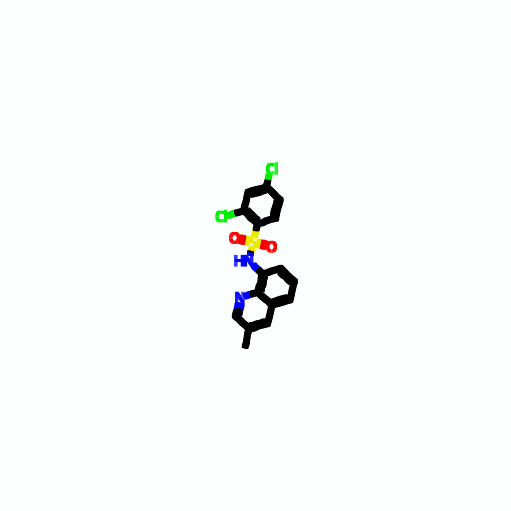 Cc1cnc2c(NS(=O)(=O)c3ccc(Cl)cc3Cl)cccc2c1